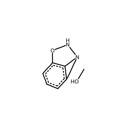 CO.c1cc2c3c(c1)N3NO2